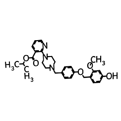 COc1cc(O)ccc1COc1ccc(CN2CCN(c3ncccc3C(=O)OC(C)C)CC2)cc1